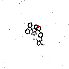 CCCC1=CC[N+](=O)N1Cc1ccc(-c2ccccc2-c2nnnn2C(c2ccccc2)(c2ccccc2)c2ccccc2)cc1